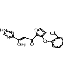 O=C(C=C(O)c1nc[nH]n1)c1occc1Oc1ccccc1Cl